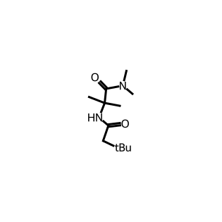 CN(C)C(=O)C(C)(C)NC(=O)CC(C)(C)C